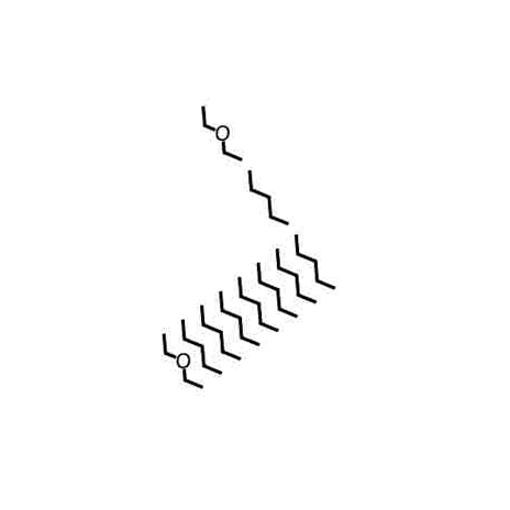 CCCCC.CCCCC.CCCCC.CCCCC.CCCCC.CCCCC.CCCCC.CCCCC.CCOCC.CCOCC